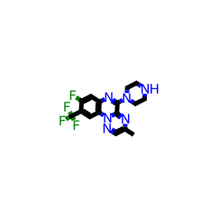 CC1=C=NN2C(=N1)C(N1CCNCC1)=Nc1cc(F)c(C(F)(F)F)cc12